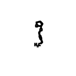 CCC#CCOC1CCCO1